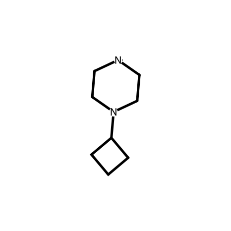 C1CC(N2CC[N]CC2)C1